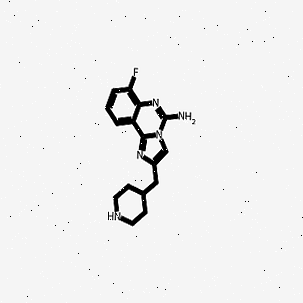 Nc1nc2c(F)cccc2c2nc(CC3CCNCC3)cn12